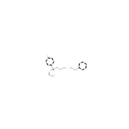 CC(C)(C)c1ccc(C2(CCCOCCc3ccccc3)OCCO2)cc1